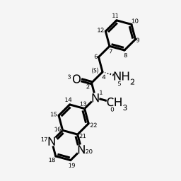 CN(C(=O)[C@@H](N)Cc1ccccc1)c1ccc2nccnc2c1